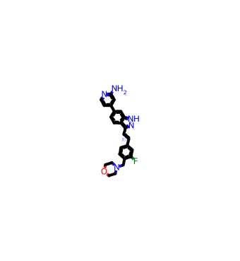 Nc1cc(-c2ccc3c(/C=C/c4ccc(CN5CCOCC5)c(F)c4)n[nH]c3c2)ccn1